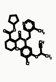 C#CC(C)Oc1cc(N(Cc2cnccc2C)C(=O)C2=C(C(=O)OC3CCCC3)CCCC2)c(Cl)cc1Cl